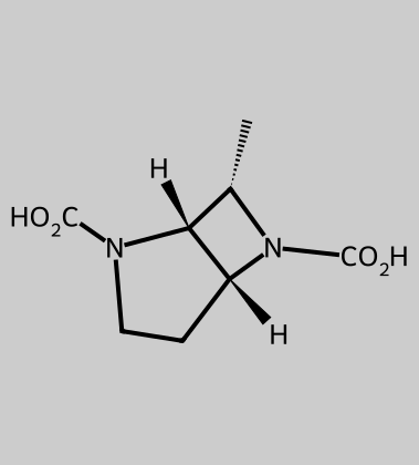 C[C@H]1[C@@H]2[C@@H](CCN2C(=O)O)N1C(=O)O